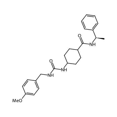 COc1ccc(CNC(=O)NC2CCC(C(=O)N[C@H](C)c3ccccc3)CC2)cc1